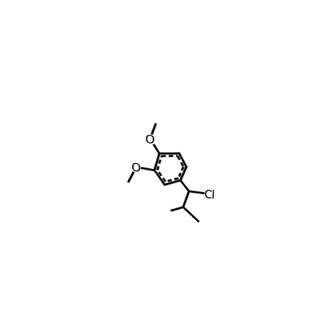 COc1ccc(C(Cl)C(C)C)cc1OC